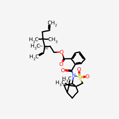 C=CCC(C)(C)[C@](C)(C=C)CCOC(=O)c1ccccc1C(=O)N1C2CC3CCC2(CS1(=O)=O)C3(C)C